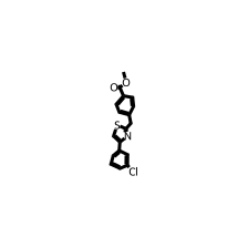 COC(=O)c1ccc(Cc2nc(-c3cccc(Cl)c3)cs2)cc1